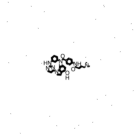 CN(C)C/C=C/C(=O)Nc1ccc(C(=O)Nc2cccc(Nc3nccc(-n4ccc5c(O)cccc54)n3)c2)cc1